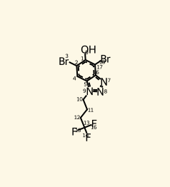 Oc1c(Br)cc2c(nnn2CCCC(F)(F)F)c1Br